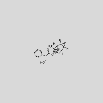 CC[N+]1(C)[C@@H]2CC(OC(=O)[C@H](CO)c3ccccc3)C[C@H]1[C@@H]1O[C@@H]12